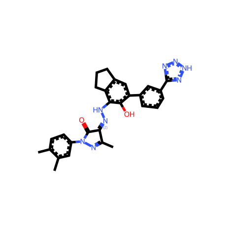 CC1=NN(c2ccc(C)c(C)c2)C(=O)/C1=N\Nc1c(O)c(-c2cccc(-c3nn[nH]n3)c2)cc2c1CCC2